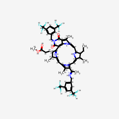 CCC1c2cc3[nH]c4c(c5nc(cc6[nH]c(cc(n2)C1C)c(/C(C)=N/Cc1cc(C(F)(F)F)cc(C(F)(F)F)c1)c6C)[C@@H](C)[C@@H]5CCC(=O)OC)C(=O)N(Cc1cc(C(F)(F)F)cc(C(F)(F)F)c1)C(=O)c4c3C